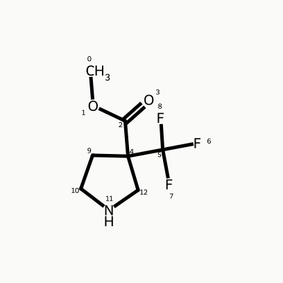 COC(=O)C1(C(F)(F)F)CCNC1